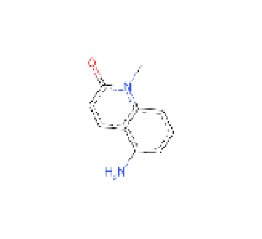 Cn1c(=O)ccc2c(N)cccc21